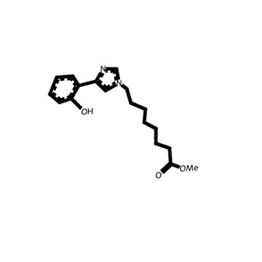 COC(=O)CCCCCCCn1cnc(-c2ccccc2O)c1